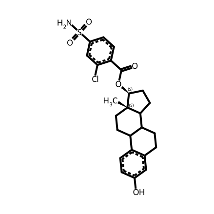 C[C@]12CCC3c4ccc(O)cc4CCC3C1CC[C@@H]2OC(=O)c1ccc(S(N)(=O)=O)cc1Cl